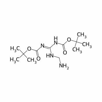 CC(C)(C)OC(=O)/N=C(\NCN)NC(=O)OC(C)(C)C